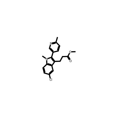 COC(=O)CCc1c(-c2ccc(C)nc2)n(C)c2ccc(Cl)cc12